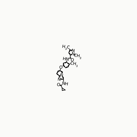 Cc1cc(C(=O)Nc2cc(Oc3ccc4nc(NC(=O)C5CC5)cn4c3)ccc2C)n(C)n1